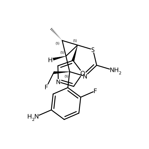 C[C@H]1[C@@H]2[C@@]1(c1cnco1)SC(N)=N[C@]2(CF)c1cc(N)ccc1F